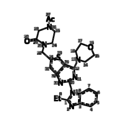 CCc1nc2ccccc2n1-c1nc(N2CCOCC2)c2sc(CN3CCN(C(C)=O)CC3=O)cc2n1